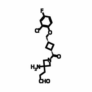 NC1(CCC=O)CN(C(=O)[C@H]2C[C@@H](COc3ccc(F)cc3Cl)C2)C1